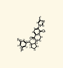 Cc1cn(-c2ccc3n(c2=O)CCN(C2CCCC2Cc2cc(F)cc(F)c2)C3=O)cn1